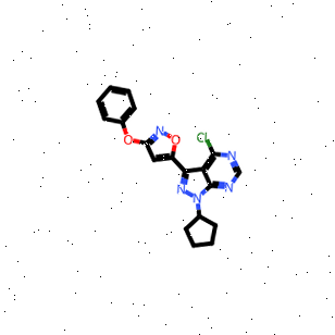 Clc1ncnc2c1c(-c1cc(Oc3ccccc3)no1)nn2C1CCCC1